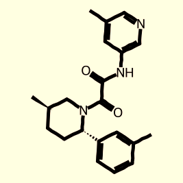 Cc1cncc(NC(=O)C(=O)N2C[C@H](C)CC[C@H]2c2cccc(C)c2)c1